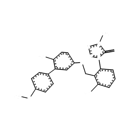 COc1ccc(-c2cc(OCc3c(C)cccc3-n3nnn(C)c3=O)ccc2C)cc1